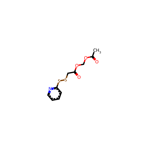 CC(=O)OCOC(=O)CSSc1ccccn1